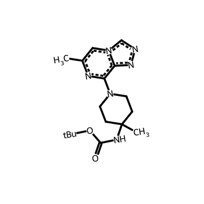 Cc1cn2cnnc2c(N2CCC(C)(NC(=O)OC(C)(C)C)CC2)n1